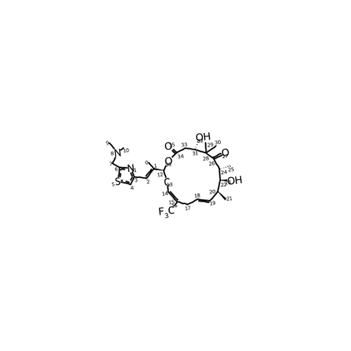 C/C(=C\c1csc(CN(C)C)n1)[C@@H]1C/C=C(/C(F)(F)F)C/C=C/[C@H](C)[C@H](O)[C@@H](C)C(=O)C(C)(C)[C@@H](O)CC(=O)O1